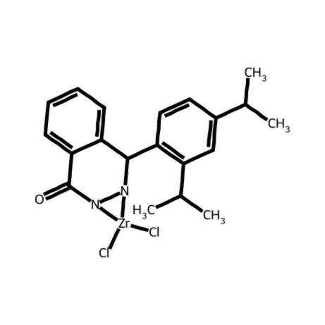 CC(C)c1ccc(C2c3ccccc3C(=O)[N]3[N]2[Zr]3([Cl])[Cl])c(C(C)C)c1